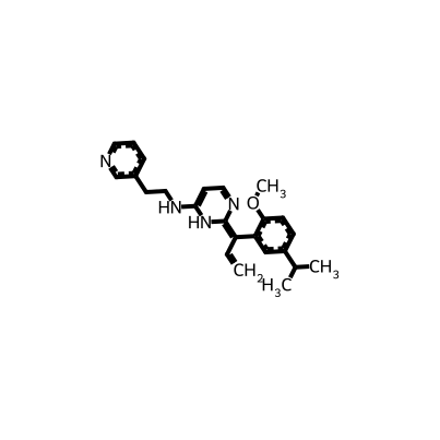 C=C/C(=C1/N=CC=C(NCCc2cccnc2)N1)c1cc(C(C)C)ccc1OC